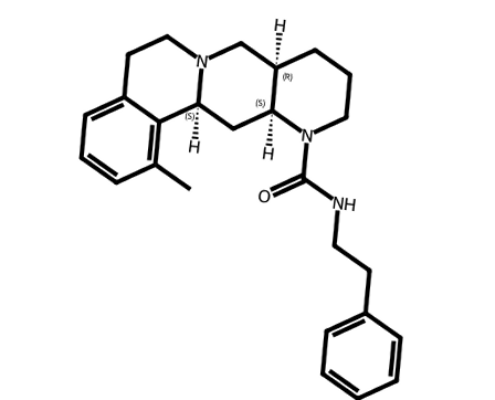 Cc1cccc2c1[C@@H]1C[C@H]3[C@H](CCCN3C(=O)NCCc3ccccc3)CN1CC2